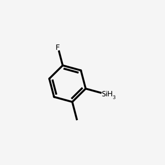 Cc1ccc(F)cc1[SiH3]